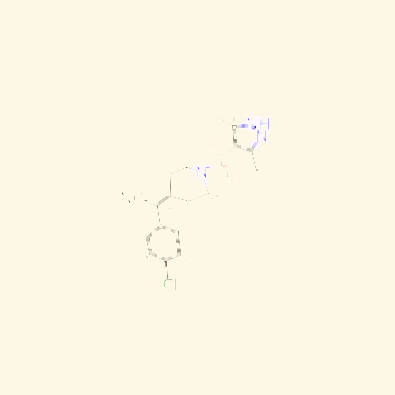 Cc1n[nH]c(C)c1S(=O)(=O)N1CCC(=C(C#N)c2ccc(Cl)cc2)CC1